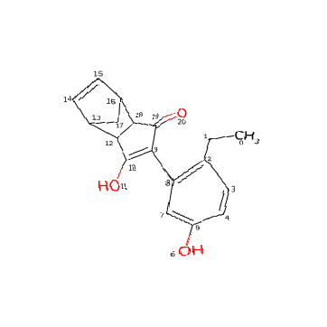 CCc1ccc(O)cc1C1=C(O)C2C3C=CC(C3)C2C1=O